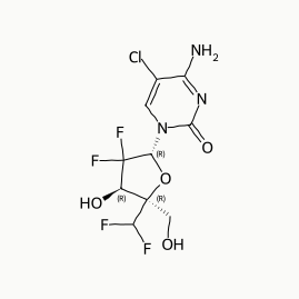 Nc1nc(=O)n([C@@H]2O[C@@](CO)(C(F)F)[C@@H](O)C2(F)F)cc1Cl